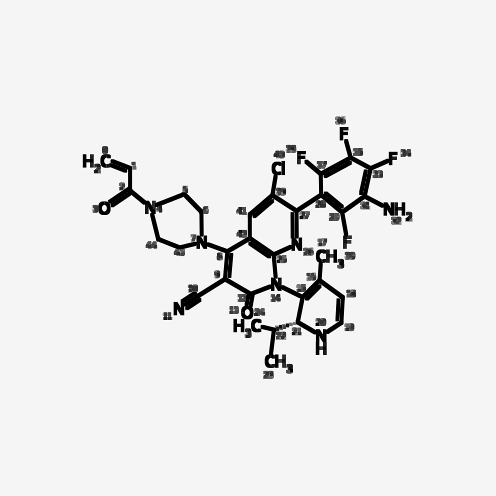 C=CC(=O)N1CCN(c2c(C#N)c(=O)n(C3=C(C)C=CN[C@@H]3C(C)C)c3nc(-c4c(F)c(N)c(F)c(F)c4F)c(Cl)cc23)CC1